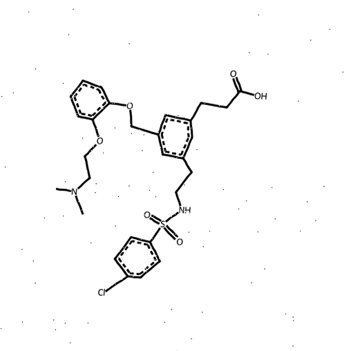 CN(C)CCOc1ccccc1OCc1cc(CCNS(=O)(=O)c2ccc(Cl)cc2)cc(CCC(=O)O)c1